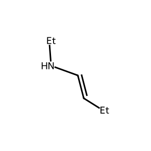 CC/C=C/NCC